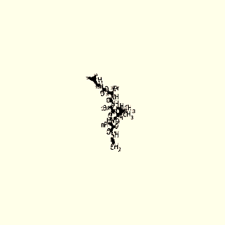 C=CCNC(=O)C(=O)C(CCC)NC(=O)[C@@H]1[C@@H]2[C@H](CN1C(=O)[C@@H](NC(=O)N[C@H](COC(=O)NCC1CC1)C(C)C)C(C)(C)C)C2(C)C